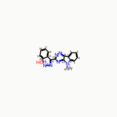 CCCn1c2ccccc2c2nnc(C(=NN)c3ccccc3O)nc21